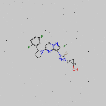 O[C@@H]1C[C@H]1NC(=S)Nc1c(F)nn2ccc(N3CCCC3c3cc(F)ccc3F)nc12